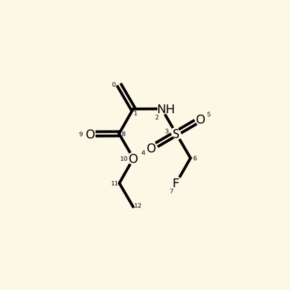 C=C(NS(=O)(=O)CF)C(=O)OCC